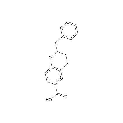 O=C(O)c1ccc2c(c1)CC[C@@H](Cc1ccccc1)O2